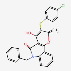 C=C1Oc2c(c(=O)n(Cc3ccccc3)c3ccccc23)C(O)=C1Sc1ccc(Cl)cc1